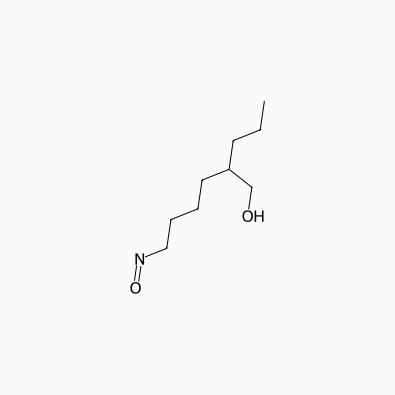 CCCC(CO)CCCCN=O